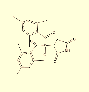 Cc1cc(C)c(C(=O)P(=O)(C(=O)c2c(C)cc(C)cc2C)C2CC(=O)NC2=O)c(C)c1